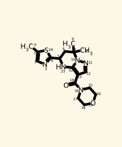 Cc1cnc(C2CC(C)(C)n3ncc(C(=O)N4CCOCC4)c3N2)s1